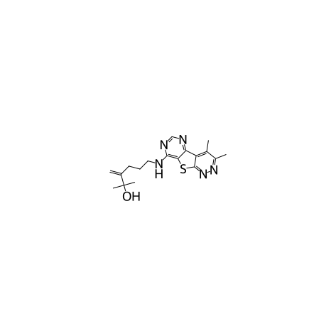 C=C(CCCNc1ncnc2c1sc1nnc(C)c(C)c12)C(C)(C)O